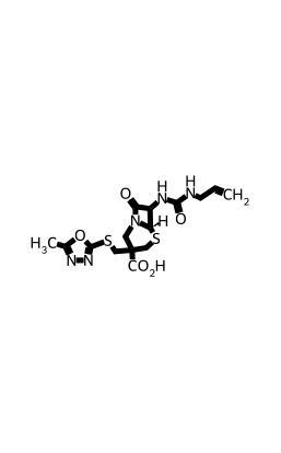 C=CCNC(=O)NC1C(=O)N2CC(CSc3nnc(C)o3)(C(=O)O)CS[C@H]12